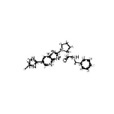 Cc1nc(-c2cnc3nc(N4CCC[C@@H]4C(=O)NCc4ccccc4)sc3c2)no1